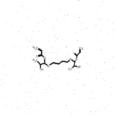 C=CC(=O)OC(OCCCCOC(OC(=O)C=C)C(C)O)C(C)O